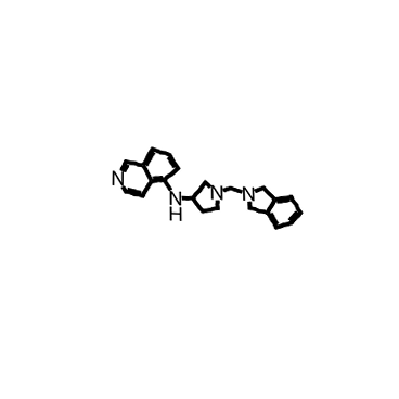 c1ccc2c(c1)CN(CN1CCC(Nc3cccc4cnccc34)C1)C2